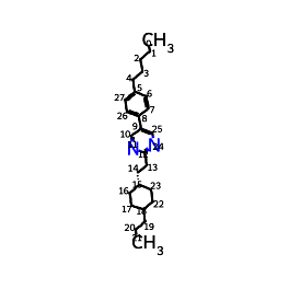 CCCCCc1ccc(-c2cnc(CC[C@H]3CC[C@H](CCC)CC3)nc2)cc1